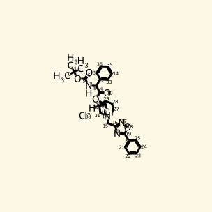 CC(C)(C)OC(=O)NC(C(=O)O[C@H]1C[N+]2(Cc3noc(-c4ccccc4)n3)CCC1CC2)c1ccccc1.[Cl-]